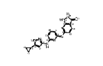 O=c1[nH][nH]c2cc(Sc3cccc(Nc4cc(C5CC5)[nH]n4)n3)ccc12